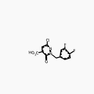 O=C(O)c1cc(Cl)nn(Cc2ccc(F)c(F)c2)c1=O